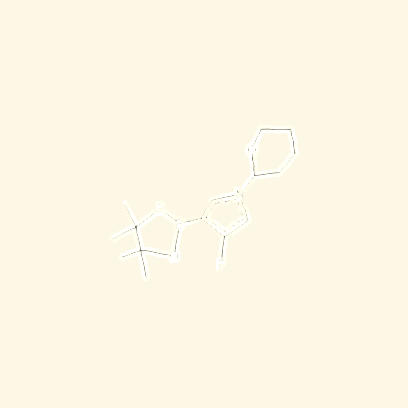 CC1(C)OB(c2cn(C3CCCCO3)cc2F)OC1(C)C